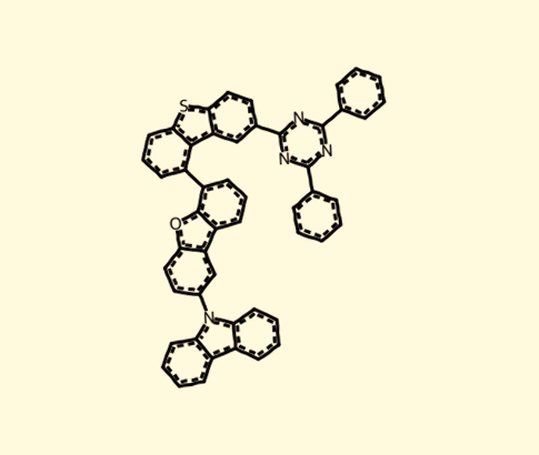 c1ccc(-c2nc(-c3ccccc3)nc(-c3ccc4sc5cccc(-c6cccc7c6oc6ccc(-n8c9ccccc9c9ccccc98)cc67)c5c4c3)n2)cc1